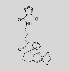 O=C(NCCCN1C(=O)C2(CCCc3cc4c(cc32)OCO4)c2ccccc21)c1sccc1Cl